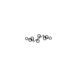 CC(C)(CCC(=O)CCC(=O)CCC(C)(C)CC(=O)OCc1ccccc1)CC(=O)OCc1ccccc1